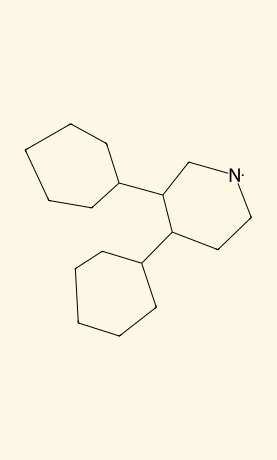 C1CCC(C2CC[N]CC2C2CCCCC2)CC1